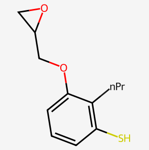 CCCc1c(S)cccc1OCC1CO1